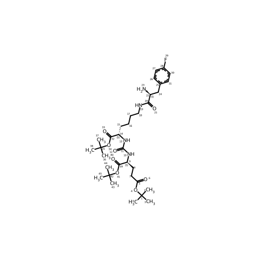 CC(C)(C)OC(=O)CC[C@H](NC(=O)N[C@@H](CCCCNC(=O)[C@@H](N)Cc1ccc(F)cc1)C(=O)OC(C)(C)C)C(=O)OC(C)(C)C